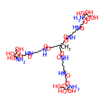 CC(CCCCCOC(=O)NCCCCCCNC(=O)CCCOC1OC(CO)C(O)C(O)C1N)(CCCOC(=O)NCCCCCCNC(=O)CCCOC1OC(CO)C(O)C(O)C1N)CCCOC(=O)NCCCCCCNC(=O)CCCOC1OC(CO)C(O)C(O)C1N